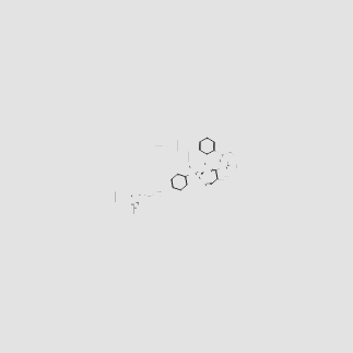 CCN(CC)CCCOc1ccc(Nc2ncc(F)c(N3OCCC3c3ccccc3)n2)cc1.Cl